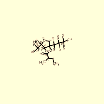 CCC(C)C(=O)OC1(C(F)(F)C(F)(F)C(F)(F)F)COC(O)(C(F)(F)F)C1(F)F